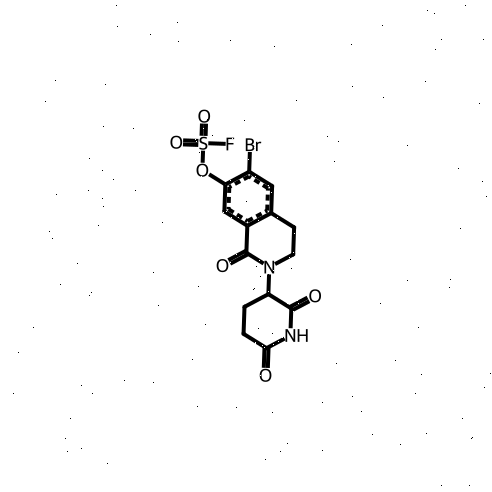 O=C1CCC(N2CCc3cc(Br)c(OS(=O)(=O)F)cc3C2=O)C(=O)N1